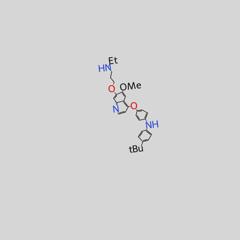 CCNCCCOc1cc2nccc(Oc3ccc(Nc4ccc(C(C)(C)C)cc4)cc3)c2cc1OC